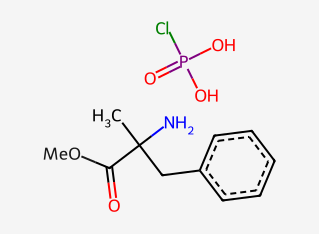 COC(=O)C(C)(N)Cc1ccccc1.O=P(O)(O)Cl